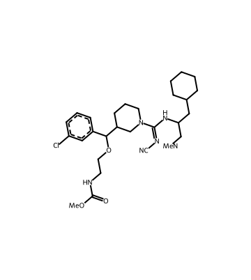 CNCC(CC1CCCCC1)N/C(=N/C#N)N1CCCC(C(OCCNC(=O)OC)c2cccc(Cl)c2)C1